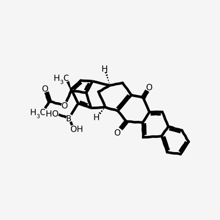 CC(=O)O[C@@H](C)c1c2ccc(B(O)O)c1[C@H]1C[C@@H]2CC2=C1C(=O)c1cc3ccccc3cc1C2=O